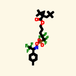 Cc1ccc(C(=NOS(=O)(=O)C(F)(F)C(F)(F)CCCOC(=O)C2(CC(C)(C)C)CC2(C)C)C(F)(F)F)cc1